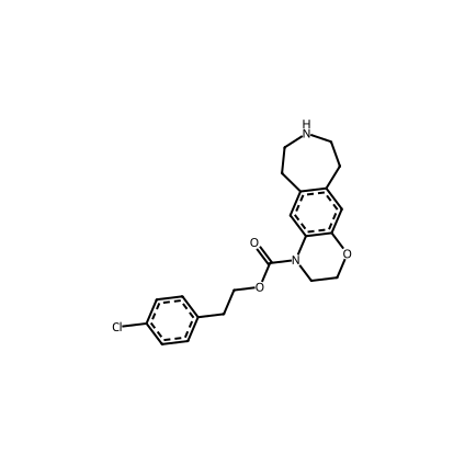 O=C(OCCc1ccc(Cl)cc1)N1CCOc2cc3c(cc21)CCNCC3